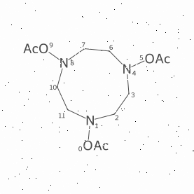 CC(=O)ON1CCN(OC(C)=O)CCN(OC(C)=O)CC1